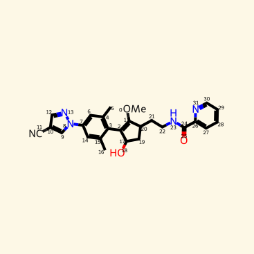 COC1=C(c2c(C)cc(-n3cc(C#N)cn3)cc2C)C(O)CC1CCNC(=O)c1ccccn1